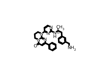 C[C@@H](Cc1cccc(CN)c1)Nc1nccc(N2CCCn3c2nc(-c2ccccc2)cc3=O)n1